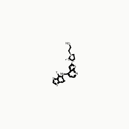 C[C@H]1[C@@H](c2cc3c(Nc4ccc5scnc5c4F)ccnc3s2)CCN1CCO